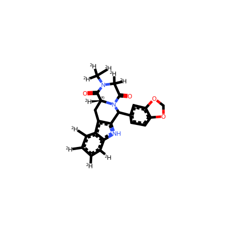 [2H]c1c([2H])c([2H])c2c3c([nH]c2c1[2H])C(c1ccc2c(c1)OCO2)N1C(=O)C([2H])([2H])N(C([2H])([2H])[2H])C(=O)[C@@]1([2H])C3